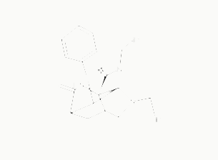 CC(C)CNC(=O)[C@]12NC(=O)[C@@H]3C[C@@H]1CN(CC(C)C)C2[C@@H]3Cc1ccccc1